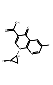 O=C(O)c1cn([C@@H]2C[C@H]2F)c2ncc(F)cc2c1=O